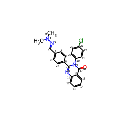 CN(C)N=Cc1ccc(-c2nc3ccccc3c(=O)n2-c2ccc(Cl)cc2)cc1